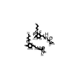 CCCCOC1C(F)=C(CCNCC(=O)N(C)C)C=CC1(C)F.CCCCOc1cc(CCNCC(=O)N(C)C)ccc1C